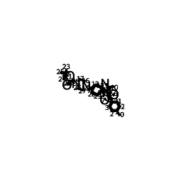 Cc1ccc(S(=O)(=O)n2c(C)nc3cc(N4CCN(C(=O)OC(C)(C)C)CC4)ccc32)cc1